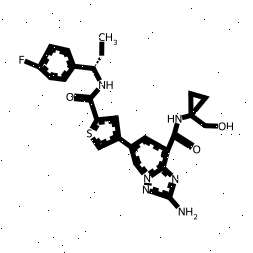 CC[C@H](NC(=O)c1cc(-c2cc(C(=O)NC3(CO)CC3)c3nc(N)nn3c2)cs1)c1ccc(F)cc1